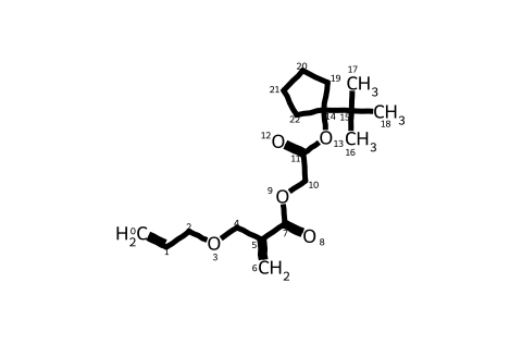 C=CCOCC(=C)C(=O)OCC(=O)OC1(C(C)(C)C)CCCC1